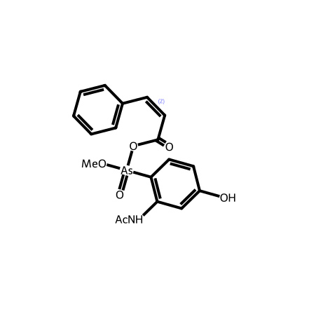 CO[As](=O)(OC(=O)/C=C\c1ccccc1)c1ccc(O)cc1NC(C)=O